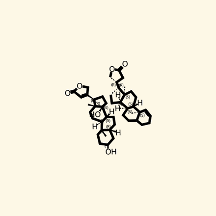 C[C@]12CC[C@H](O)C[C@H]1CC[C@@H]1[C@@H]2CC[C@]2(C)[C@@H](C3=CC(=O)OC3)CC[C@]12O.C[C@]12CC[C@H]3[C@@H](CCC4CCC=C[C@@]43C)[C@H]1CC[C@@H]2[C@@H]1COC(=O)C1